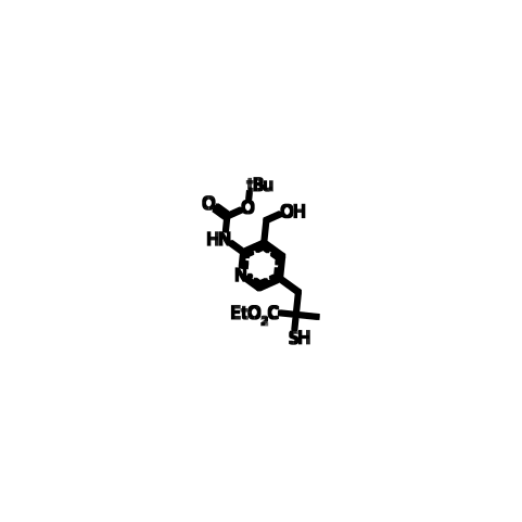 CCOC(=O)C(C)(S)Cc1cnc(NC(=O)OC(C)(C)C)c(CO)c1